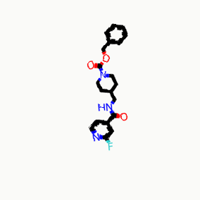 O=C(NCC1CCN(C(=O)OCc2ccccc2)CC1)c1ccnc(F)c1